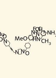 COc1cc2nc(C)nc(N[C@H](C)c3cc(N)cc(C(F)(F)F)c3)c2cc1[C@H]1CC[C@H](C(=O)N2CCN(CC#CC3CCN(C(=O)OC(C)(C)C)CC3)CC2)CC1